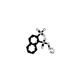 NOS(=O)(=O)c1c(S(=O)(=O)[O-])ccc2ccccc12.[Na+]